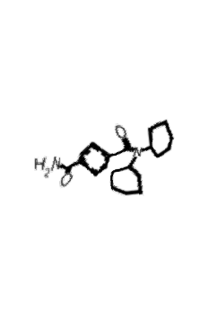 NC(=O)c1ccc(C(=O)N(C2CCCCC2)C2CCCCC2)cc1